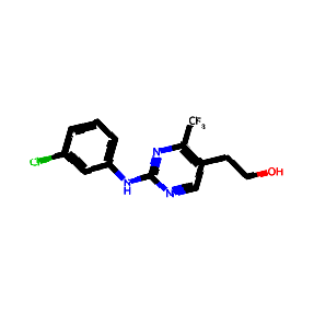 OCCc1cnc(Nc2cccc(Cl)c2)nc1C(F)(F)F